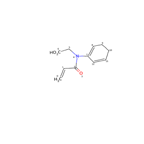 C=CC(=O)N(CC(=O)O)C1=CCCC=C1